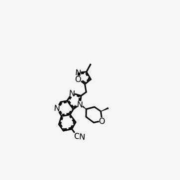 Cc1cc(Cc2nc3cnc4ccc(C#N)cc4c3n2[C@@H]2CCO[C@H](C)C2)on1